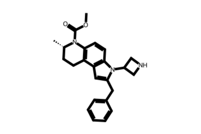 COC(=O)N1c2ccc3c(cc(Cc4ccccc4)n3C3CNC3)c2CC[C@@H]1C